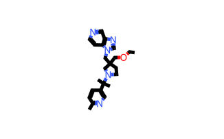 CCOCC1(Cn2cnc3cnccc32)CCN(C(C)(C)c2ccc(C)nc2)C1